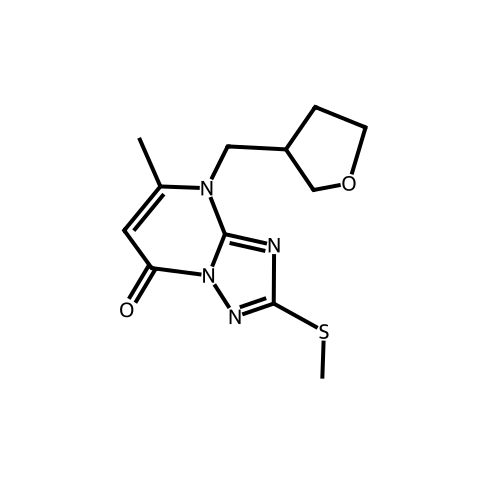 CSc1nc2n(CC3CCOC3)c(C)cc(=O)n2n1